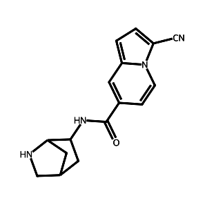 N#Cc1ccc2cc(C(=O)NC3CC4CNC3C4)ccn12